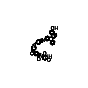 O=C1CCC(N2Cc3cc4c(cc3C2=O)OCC42CCN(CC3CCC4(CC3)CN(c3ccc([C@H]5c6ccc(O)cc6OC[C@H]5c5ccccc5)cc3)C4)CC2)C(=O)N1